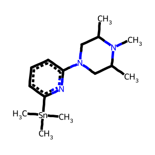 CC1CN(c2ccc[c]([Sn]([CH3])([CH3])[CH3])n2)CC(C)N1C